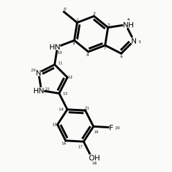 Cc1cc2[nH]ncc2cc1Nc1cc(-c2ccc(O)c(F)c2)[nH]n1